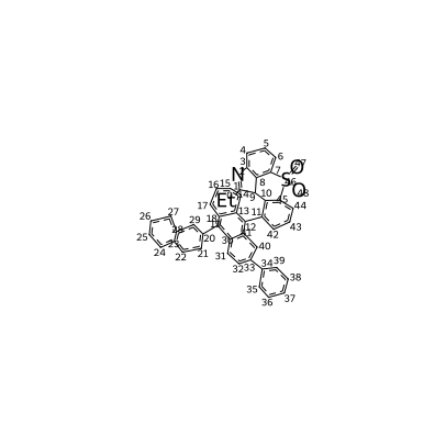 CCC1=Nc2cccc3c2C1c1c(-c2c4ccccc4c(-c4ccc5ccccc5c4)c4ccc(-c5ccccc5)cc24)cccc1S3(=O)=O